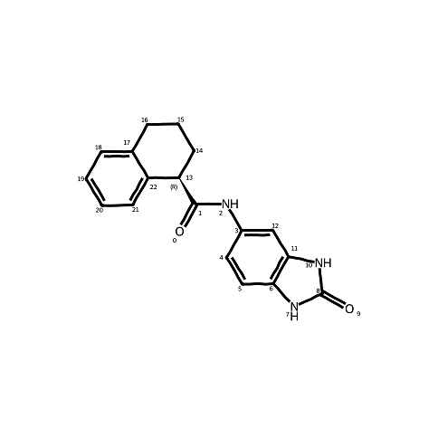 O=C(Nc1ccc2[nH]c(=O)[nH]c2c1)[C@@H]1CCCc2ccccc21